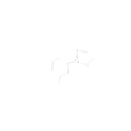 Cc1cccc(-n2cc[c]n2)c1C